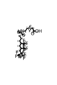 C[N+](C)(CCNS(=O)(=O)CCCC(CC(CC(F)(C(F)(F)F)C(F)(F)F)C(F)(F)F)C(F)(F)F)CC(=O)O